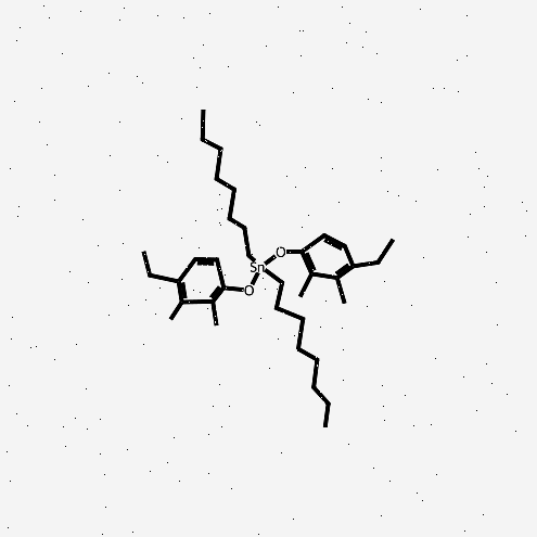 CCCCCCC[CH2][Sn]([CH2]CCCCCCC)([O]c1ccc(CC)c(C)c1C)[O]c1ccc(CC)c(C)c1C